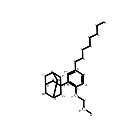 CCCCCCCCc1ccc(OCOC)c(C23CC4CC(CC(C4)C2)C3)c1